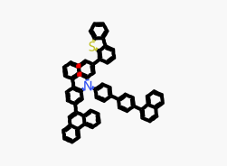 c1ccc(-c2ccc(-c3cc4ccccc4c4ccccc34)cc2N(c2ccc(-c3ccc(-c4cccc5ccccc45)cc3)cc2)c2cccc(-c3cccc4c3sc3ccccc34)c2)cc1